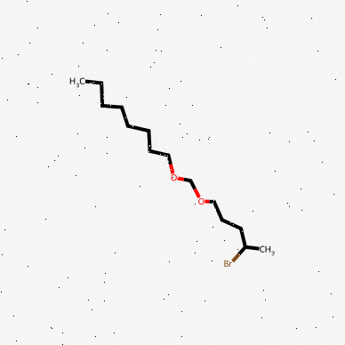 CCCCCCCCOCOCCCC(C)Br